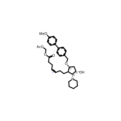 COc1ccc(-c2ccc(CO[C@H]3C[C@H](O)[C@H](N4CCCCC4)C3CC/C=C\CCC(=O)OCOC(C)=O)cc2)cc1